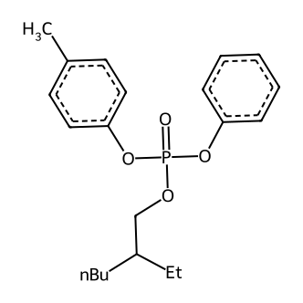 CCCCC(CC)COP(=O)(Oc1ccccc1)Oc1ccc(C)cc1